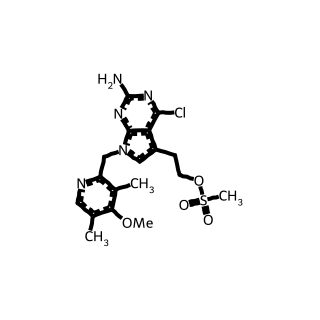 COc1c(C)cnc(Cn2cc(CCOS(C)(=O)=O)c3c(Cl)nc(N)nc32)c1C